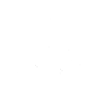 CC(C)(C)[S+]([O-])NC(CC(=O)CC(=O)O)(c1ccsc1)c1cccc(Br)n1